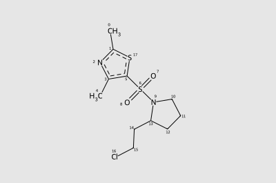 Cc1nc(C)c(S(=O)(=O)N2CCCC2CCCl)s1